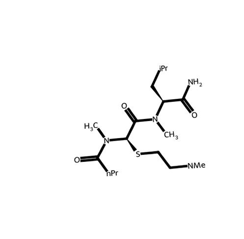 CCCC(=O)N(C)[C@H](SCCNC)C(=O)N(C)[C@@H](CC(C)C)C(N)=O